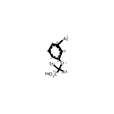 CCC(CC)(Oc1cccc(C(C)=O)c1)C(=O)O